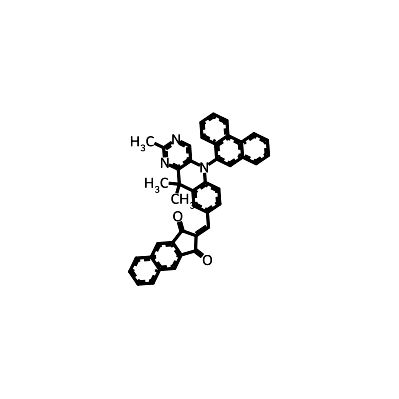 Cc1ncc2c(n1)C(C)(C)c1cc(C=C3C(=O)c4cc5ccccc5cc4C3=O)ccc1N2c1cc2ccccc2c2ccccc12